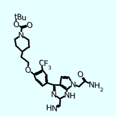 CC(C)(C)OC(=O)N1CCC(CCOc2ccc(C3=NC(C=N)Nc4c3ccn4CC(N)=O)cc2C(F)(F)F)CC1